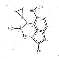 CNc1cnc2sc(C)nc2c1C(C1CC1)N(C)C